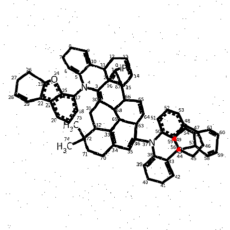 CC(C)C1=C2C(N(C3=CCCC=C3C3CC=CCC3)c3cccc4c5c(oc34)CCC=C5)=C3CC4C5=C(C=C(N(C6=CCCC=C6C6CCCCC6)c6cccc7c6OC6C=CC=CC76)C6C=CC(C21)C3C56)CCC4(C)C